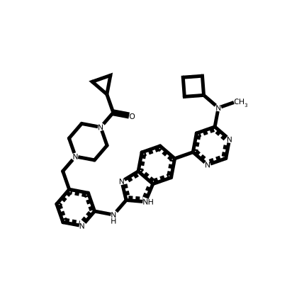 CN(c1cc(-c2ccc3nc(Nc4cc(CN5CCN(C(=O)C6CC6)CC5)ccn4)[nH]c3c2)ncn1)C1CCC1